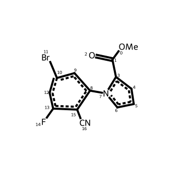 COC(=O)c1cccn1-c1cc(Br)cc(F)c1C#N